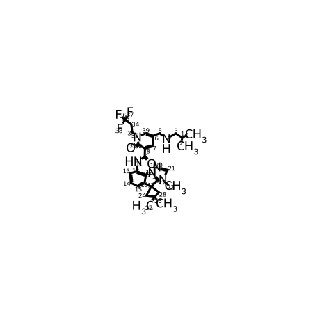 CC(C)CNCc1cc(C(=O)Nc2cccc(C3(c4nncn4C)CC(C)(C)C3)c2)c(=O)n(CCC(F)(F)F)c1